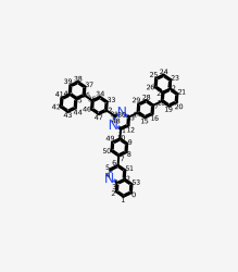 c1ccc2ncc(-c3ccc(-c4cc(-c5ccc(-c6cccc7ccccc67)cc5)nc(-c5ccc(-c6cccc7ccccc67)cc5)n4)cc3)cc2c1